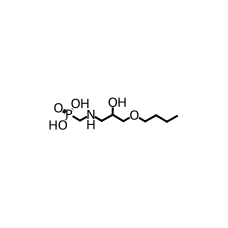 CCCCOCC(O)CNCP(=O)(O)O